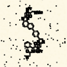 CCCN(Cc1nc2ccc3cc(-c4ccc(-c5cnc(CN(CCC)C(=O)[C@H](NC(=O)CN(C)C)c6ccccc6)[nH]5)cc4)ccc3c2[nH]1)C(=O)CNC